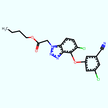 CCCCOC(=O)Cn1nnc2c(Oc3cc(Cl)cc(C#N)c3)c(Cl)ccc21